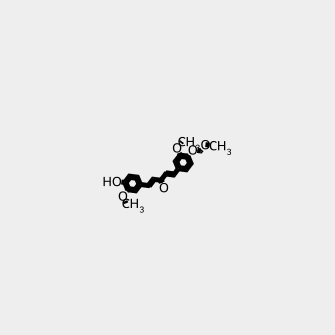 COCOc1ccc(C=CC(=O)C=Cc2ccc(O)c(OC)c2)cc1OC